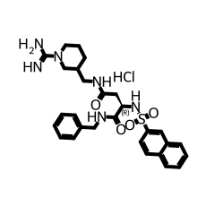 Cl.N=C(N)N1CCCC(CNC(=O)C[C@@H](NS(=O)(=O)c2ccc3ccccc3c2)C(=O)NCc2ccccc2)C1